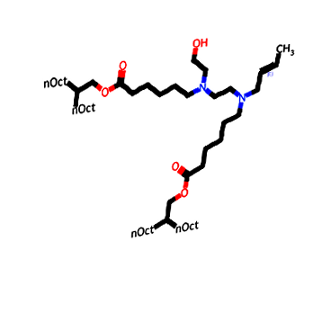 C/C=C/CN(CCCCCC(=O)OCC(CCCCCCCC)CCCCCCCC)CCN(CCO)CCCCCC(=O)OCC(CCCCCCCC)CCCCCCCC